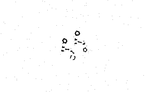 Nc1nc(Nc2cccc(F)c2)nc(-c2noc(C(=O)N3CCOCC3)n2)n1.Nc1nc(Nc2ccccc2)nc(-c2noc(NC3CCCC3)n2)n1